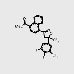 COC(=O)c1ccc(C2=NOC(c3cc(F)c(F)c(C(F)(F)F)c3)(C(F)(F)F)C2)c2ccccc12